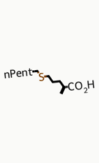 C=C(CCCSCCCCCC)C(=O)O